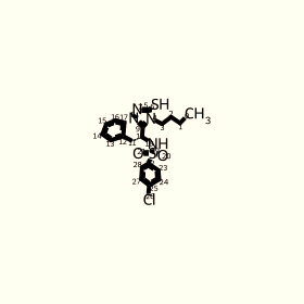 CCCCn1c(S)nnc1[C@@H](Cc1ccccc1)NS(=O)(=O)c1ccc(Cl)cc1